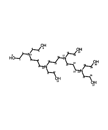 OCCN(CCO)CCCN(CCO)CCCN(CCO)CCCN(CCO)CCO